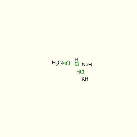 Cl.Cl.Cl.[CaH2].[KH].[NaH]